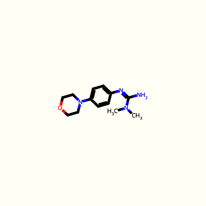 CN(C)C(N)=Nc1ccc(N2CCOCC2)cc1